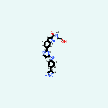 CCN(CCO)C(=O)c1cc2ccc(-c3nccc(Nc4ccc(-c5cn[nH]c5)cc4)n3)cc2[nH]1